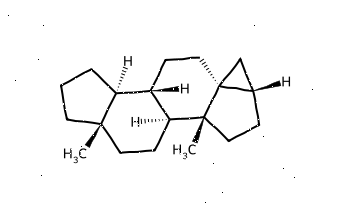 C[C@@]12CCC[C@H]1[C@@H]1CC[C@]34C[C@@H]3CC[C@]4(C)[C@H]1CC2